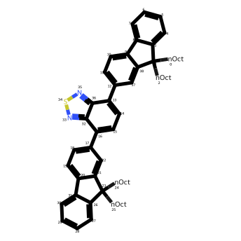 CCCCCCCCC1(CCCCCCCC)c2ccccc2-c2ccc(-c3ccc(-c4ccc5c(c4)C(CCCCCCCC)(CCCCCCCC)c4ccccc4-5)c4nsnc34)cc21